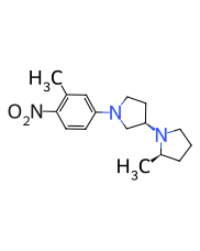 Cc1cc(N2CC[C@@H](N3CCC[C@H]3C)C2)ccc1[N+](=O)[O-]